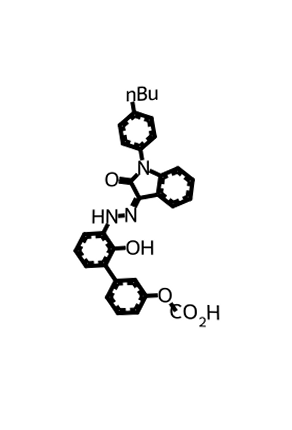 CCCCc1ccc(N2C(=O)C(=NNc3cccc(-c4cccc(OC(=O)O)c4)c3O)c3ccccc32)cc1